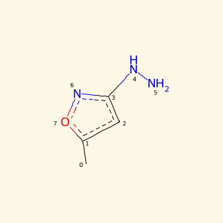 Cc1cc(NN)no1